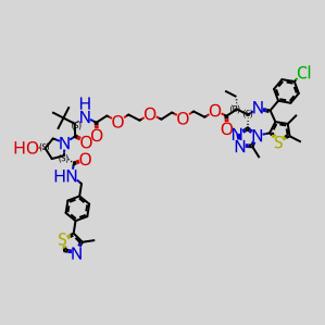 CC[C@@H](C(=O)OCCOCCOCCOCC(=O)N[C@H](C(=O)N1C[C@@H](O)C[C@H]1C(=O)NCc1ccc(-c2scnc2C)cc1)C(C)(C)C)[C@@H]1N=C(c2ccc(Cl)cc2)c2c(sc(C)c2C)-n2c(C)nnc21